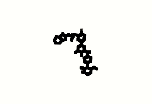 CCN1CCNC(=O)C1c1ccc(Nc2nc(-c3ccc(F)c(NC(=O)Oc4cc5c(s4)CCCC5)n3)cn(C)c2=O)cc1